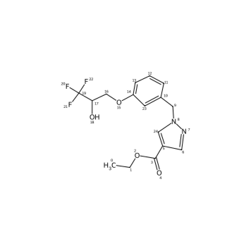 CCOC(=O)c1cnn(Cc2cccc(OCC(O)C(F)(F)F)c2)c1